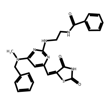 CN(Cc1ccccc1)c1cc(/C=C2/SC(=O)NC2=O)nc(NCCNC(=O)c2ccccc2)n1